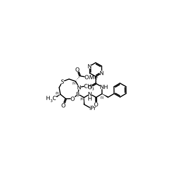 COC(=O)[C@H]1CSC[C@H](C)C(=O)OB([C@H](CC(C)C)NC(=O)[C@H](Cc2ccccc2)NC(=O)c2cnccn2)N1C